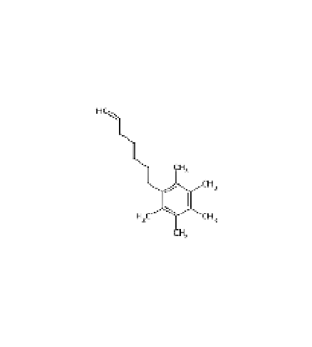 [CH]=CCCCCCc1c(C)c(C)c(C)c(C)c1C